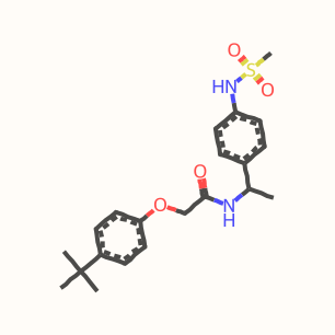 CC(NC(=O)COc1ccc(C(C)(C)C)cc1)c1ccc(NS(C)(=O)=O)cc1